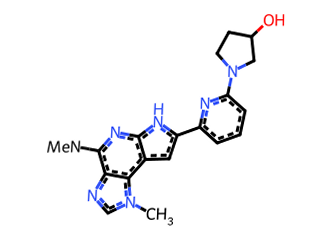 CNc1nc2[nH]c(-c3cccc(N4CCC(O)C4)n3)cc2c2c1ncn2C